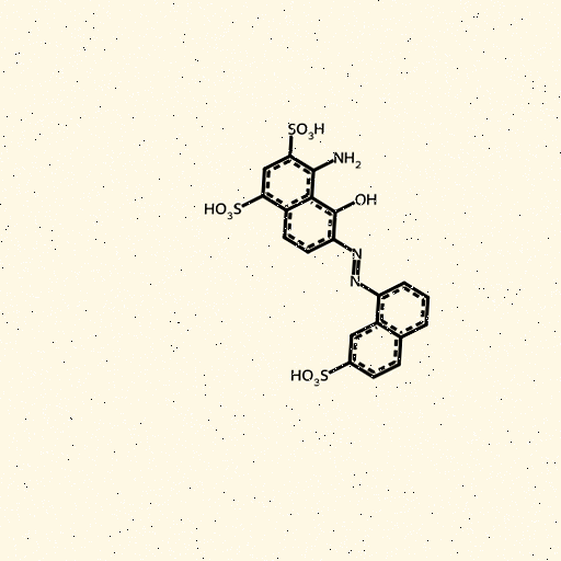 Nc1c(S(=O)(=O)O)cc(S(=O)(=O)O)c2ccc(/N=N/c3cccc4ccc(S(=O)(=O)O)cc34)c(O)c12